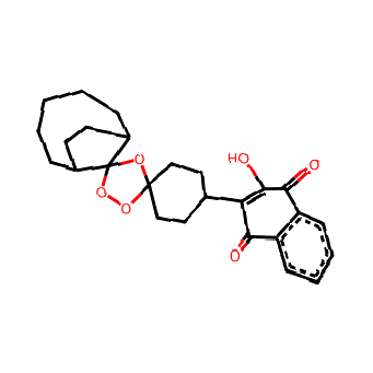 O=C1C(O)=C(C2CCC3(CC2)OOC2(O3)C3CCCCCC2CC3)C(=O)c2ccccc21